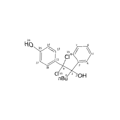 CCCCC(O)(c1ccccc1)C(Cl)(Cl)c1ccc(O)cc1